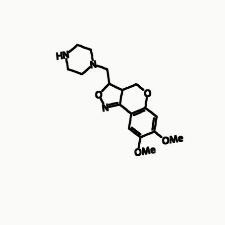 COc1cc2c(cc1OC)C1=NOC(CN3CCNCC3)C1CO2